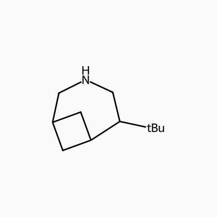 CC(C)(C)C1CNCC2CC1C2